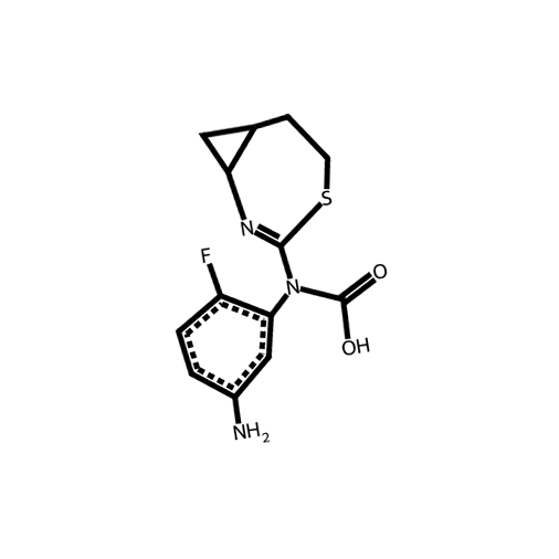 Nc1ccc(F)c(N(C(=O)O)C2=NC3CC3CCS2)c1